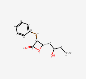 CCCCCCCCCCCC(O)C[C@@H]1OC(=O)[C@H]1Sc1ccccc1